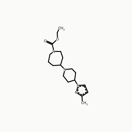 CCOC(=O)N1CCCC(N2CCC(n3ccc(C)n3)CC2)CC1